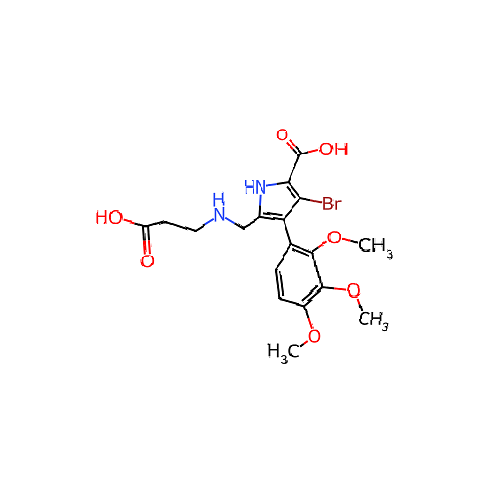 COc1ccc(-c2c(CNCCC(=O)O)[nH]c(C(=O)O)c2Br)c(OC)c1OC